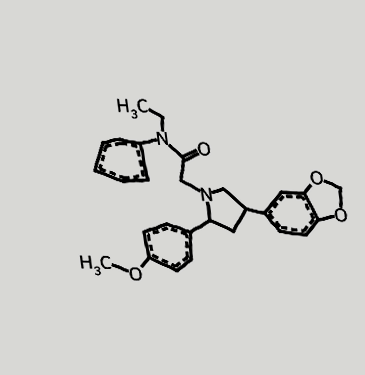 CCN(C(=O)CN1CC(c2ccc3c(c2)OCO3)CC1c1ccc(OC)cc1)c1ccccc1